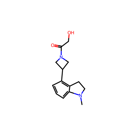 CN1CCc2c(C3CN(C(=O)CO)C3)cccc21